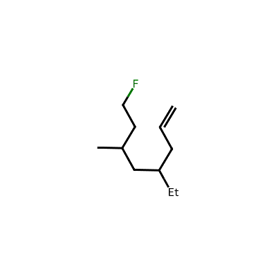 C=CCC(CC)CC(C)CCF